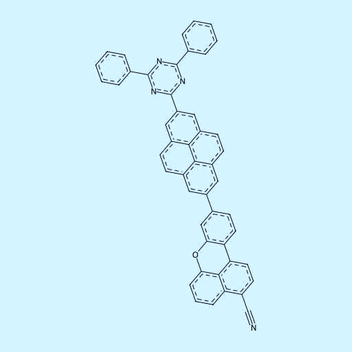 N#Cc1ccc2c3c(cccc13)Oc1cc(-c3cc4ccc5cc(-c6nc(-c7ccccc7)nc(-c7ccccc7)n6)cc6ccc(c3)c4c56)ccc1-2